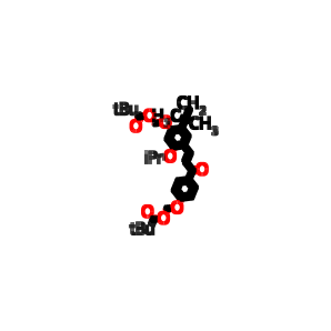 C=CC(C)(C)c1cc(C=CC(=O)c2ccc(OCOC(=O)C(C)(C)C)cc2)c(OC(C)C)cc1OCOC(=O)C(C)(C)C